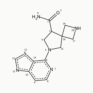 NC(=O)C1CN(c2nccc3ncsc23)CC12CNC2